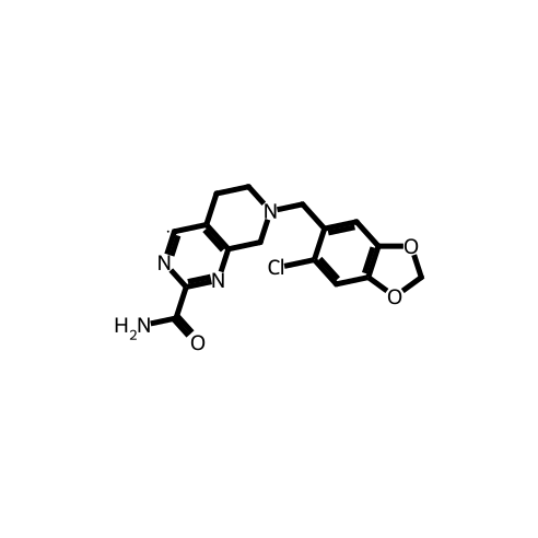 NC(=O)c1n[c]c2c(n1)CN(Cc1cc3c(cc1Cl)OCO3)CC2